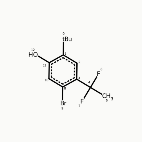 CC(C)(C)c1cc(C(C)(F)F)c(Br)cc1O